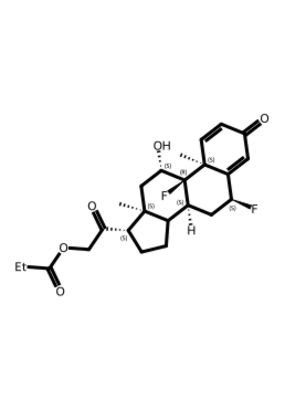 CCC(=O)OCC(=O)[C@H]1CCC2[C@@H]3C[C@H](F)C4=CC(=O)C=C[C@]4(C)[C@@]3(F)[C@@H](O)C[C@@]21C